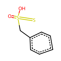 O=S(O)(=S)Cc1ccccc1